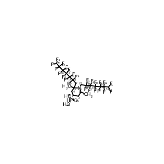 CC1CCCC(C)(CC(F)(F)C(F)(F)C(F)(F)C(F)(F)C(F)(F)C(F)F)N1CC(F)(F)C(F)(F)C(F)(F)C(F)(F)C(F)(F)C(F)F.O=[PH](O)O